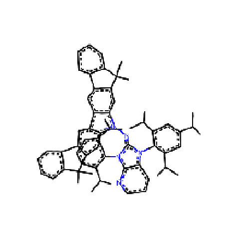 CC(C)c1cc(C(C)C)c(-n2c(=Nn3c4cc5c(cc4c4cc6c(cc43)C(C)(C)c3ccccc3-6)-c3ccccc3C5(C)C)n(-c3c(C(C)C)cccc3C(C)C)c3ncccc32)c(C(C)C)c1